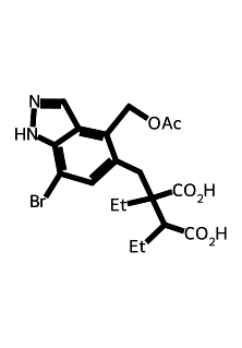 CCC(C(=O)O)C(CC)(Cc1cc(Br)c2[nH]ncc2c1COC(C)=O)C(=O)O